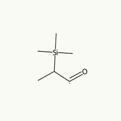 CC([C]=O)[Si](C)(C)C